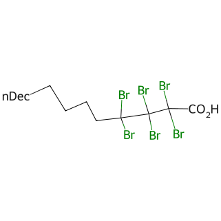 CCCCCCCCCCCCCCC(Br)(Br)C(Br)(Br)C(Br)(Br)C(=O)O